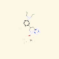 Cc1ccc(N(CCCl)CCCl)cc1C(CNC(=O)OC(C)(C)C)Cc1nnn[nH]1